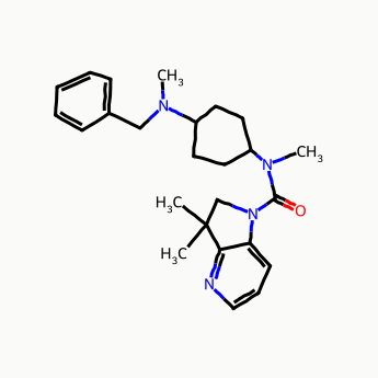 CN(Cc1ccccc1)C1CCC(N(C)C(=O)N2CC(C)(C)c3ncccc32)CC1